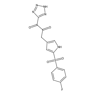 O=C(Cc1c[nH]c(S(=O)(=O)c2ccc(F)cc2)c1)C(=O)c1nn[nH]n1